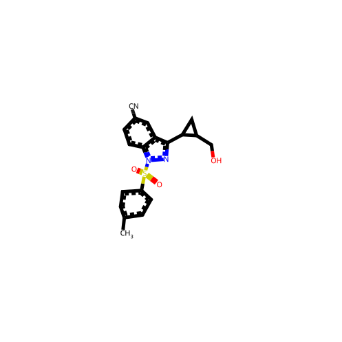 Cc1ccc(S(=O)(=O)n2nc(C3CC3CO)c3cc(C#N)ccc32)cc1